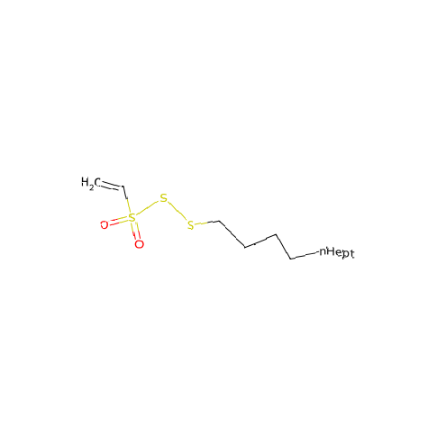 C=CS(=O)(=O)SSCCCCCCCCCCC